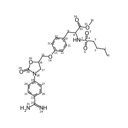 CCCCS(=O)(=O)NC(Cc1ccc(OCC2CN(c3ccc(C(=N)N)cc3)C(=O)O2)cc1)C(=O)OC